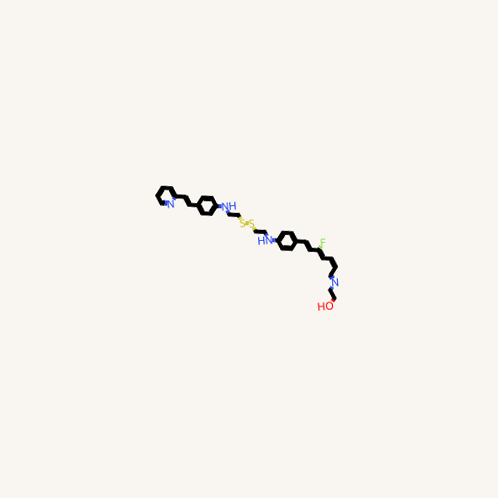 OCC/N=C/C=C\C=C(F)\C=C\c1ccc(NCCSSCCNc2ccc(/C=C/c3ccccn3)cc2)cc1